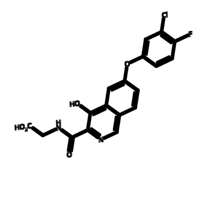 O=C(O)CNC(=O)c1ncc2ccc(Oc3ccc(F)c(Cl)c3)cc2c1O